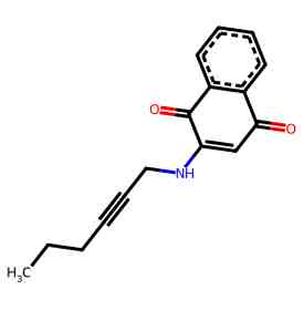 CCCC#CCNC1=CC(=O)c2ccccc2C1=O